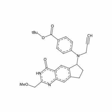 C#CCN(c1ccc(C(=O)OC(C)(C)C)cc1)C1CCc2cc3nc(COC)[nH]c(=O)c3cc21